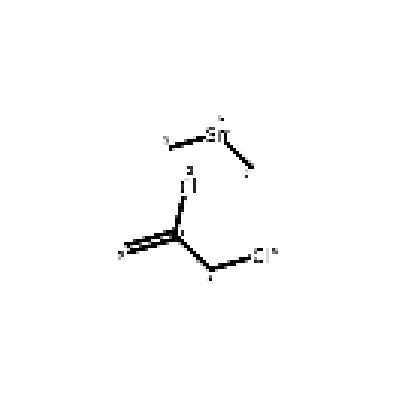 C=C(Cl)CCl.[CH3][Sn][CH3]